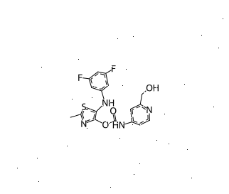 Cc1nc(OC(=O)Nc2ccnc(CO)c2)c(Nc2cc(F)cc(F)c2)s1